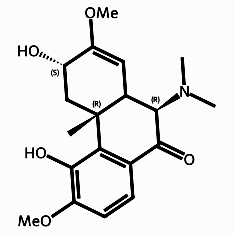 COC1=CC2[C@@H](N(C)C)C(=O)c3ccc(OC)c(O)c3[C@]2(C)C[C@@H]1O